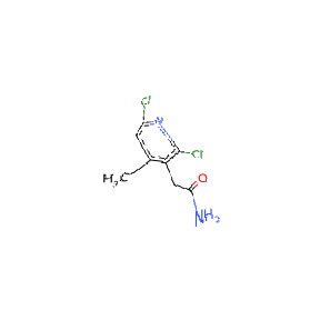 Cc1cc(Cl)nc(Cl)c1CC(N)=O